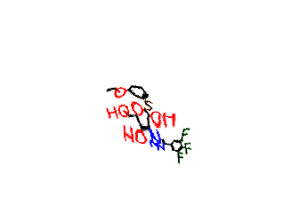 CCOc1cccc(S[C@H]2O[C@H](CO)[C@H](O)[C@H](n3cc(-c4cc(F)c(F)c(F)c4)nn3)[C@H]2O)c1